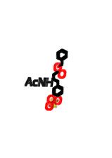 CC(=O)NC(CC(=O)OCc1ccccc1)Cc1ccc(OS(C)(=O)=O)cc1